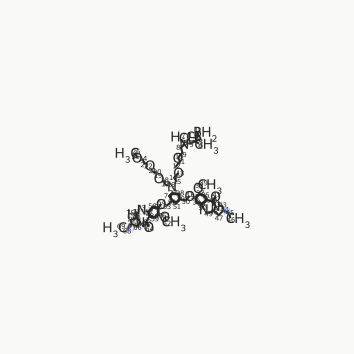 BSC(C)(C)CN(C)CCOCCOCCN(CCOCCOCCOC)c1cc(COc2cc3c(cc2OC)C(=O)N2C/C(=C/C)CC2C=N3)cc(COc2cc3c(cc2OC)C(=O)N2C/C(=C/C)C[C@H]2C=N3)c1